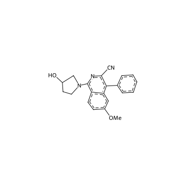 COc1ccc2c(N3CCC(O)C3)nc(C#N)c(-c3ccccc3)c2c1